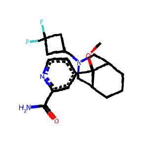 COC1(c2ccnc(C(N)=O)c2)C2CCCC1CN(C1CC(F)(F)C1)C2